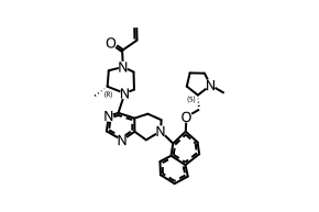 C=CC(=O)N1CCN(c2ncnc3c2CCN(c2c(OC[C@@H]4CCCN4C)ccc4ccccc24)C3)[C@H](C)C1